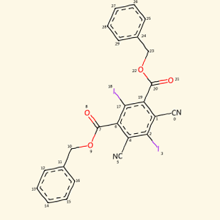 N#Cc1c(I)c(C#N)c(C(=O)OCc2ccccc2)c(I)c1C(=O)OCc1ccccc1